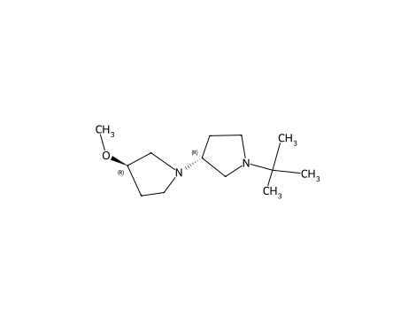 CO[C@@H]1CCN([C@@H]2CCN(C(C)(C)C)C2)C1